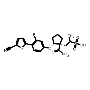 CC(C[C@@]1(C(N)=O)CCC[C@H]1Oc1ccc(-c2ccc(C#N)s2)c(F)c1)S(=O)(=O)O